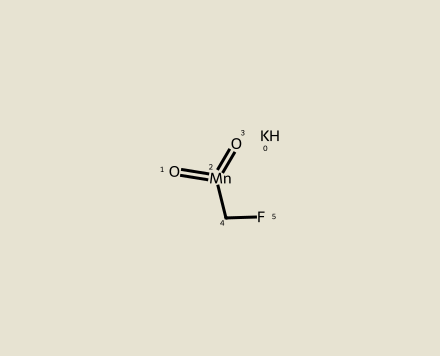 [KH].[O]=[Mn](=[O])[CH2]F